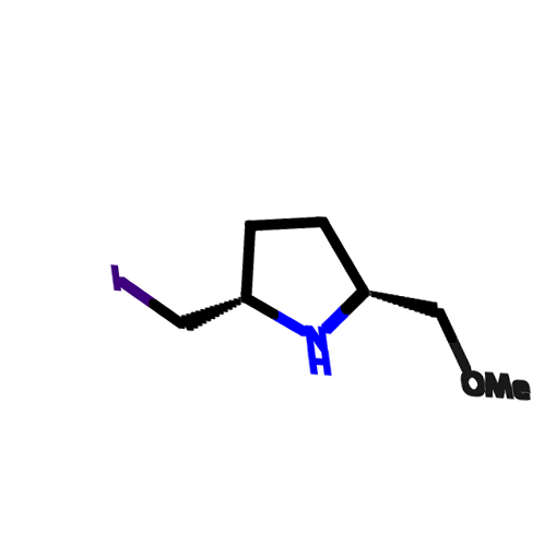 COC[C@H]1CC[C@@H](CI)N1